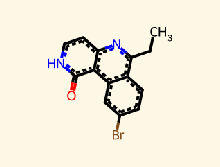 CCc1nc2cc[nH]c(=O)c2c2cc(Br)ccc12